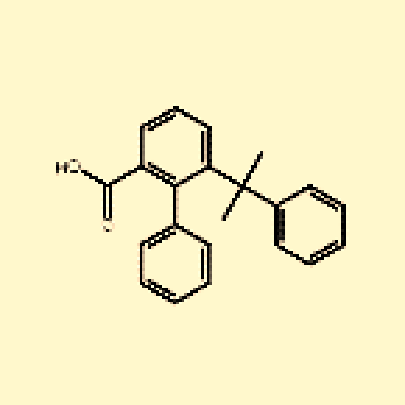 CC(C)(c1ccccc1)c1cccc(C(=O)O)c1-c1ccccc1